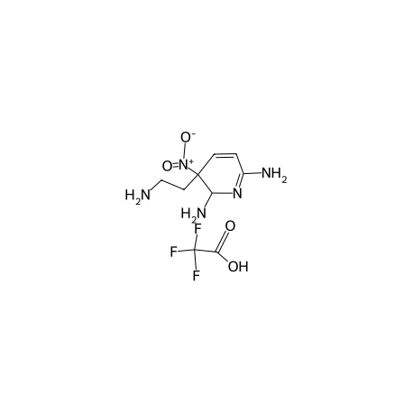 NCCC1([N+](=O)[O-])C=CC(N)=NC1N.O=C(O)C(F)(F)F